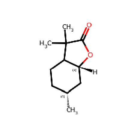 C[C@@H]1CCC2[C@@H](C1)OC(=O)C2(C)C